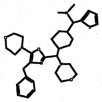 CN(C)C(c1cccs1)C1CCC(C(c2nc(Cc3ccccc3)c(N3CCOCC3)o2)N2CCOCC2)CC1